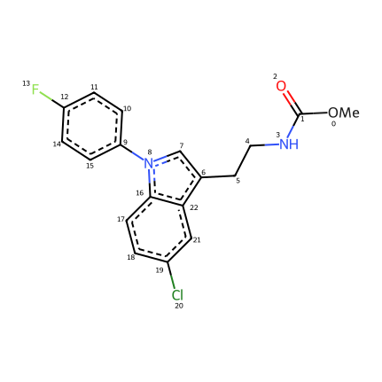 COC(=O)NCCc1cn(-c2ccc(F)cc2)c2ccc(Cl)cc12